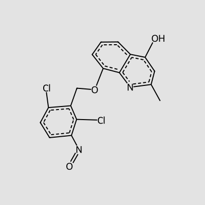 Cc1cc(O)c2cccc(OCc3c(Cl)ccc(N=O)c3Cl)c2n1